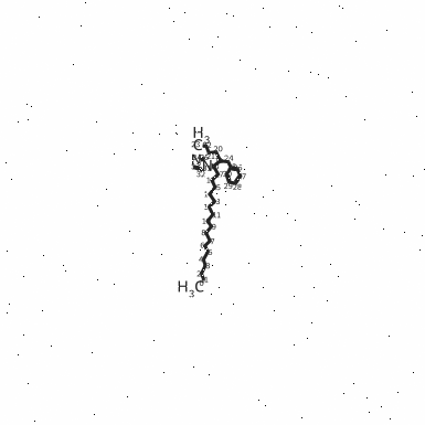 CCCCCCCCCCCCCCCCCCC(C(CCCC)Cc1ccccc1)n1ccnc1